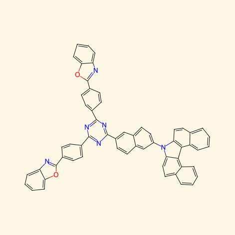 c1ccc2c(c1)ccc1c2c2c3ccccc3ccc2n1-c1ccc2cc(-c3nc(-c4ccc(-c5nc6ccccc6o5)cc4)nc(-c4ccc(-c5nc6ccccc6o5)cc4)n3)ccc2c1